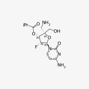 CC(C)C(=O)O[C@H]1[C@@H](F)[C@H](n2ccc(N)nc2=O)O[C@]1(CN)CO